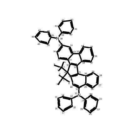 CC(C)(C)C1(C(C)(C)C)c2cc(N(c3ccccc3)c3ccccc3)c3ccccc3c2-c2c1c1ccc(N(c3ccccc3)c3ccccc3)cc1c1ccccc21